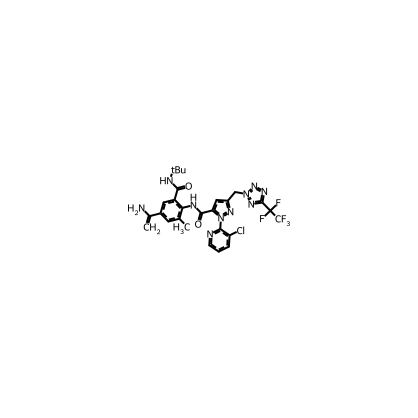 C=C(N)c1cc(C)c(NC(=O)c2cc(Cn3nnc(C(F)(F)C(F)(F)F)n3)nn2-c2ncccc2Cl)c(C(=O)NC(C)(C)C)c1